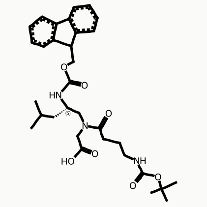 CC(C)C[C@@H](CN(CC(=O)O)C(=O)CCCNC(=O)OC(C)(C)C)NC(=O)OCC1c2ccccc2-c2ccccc21